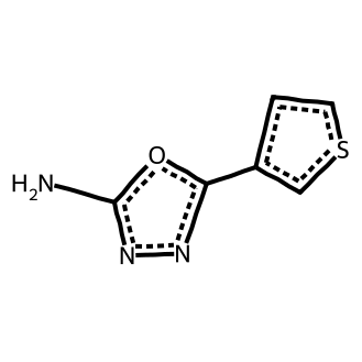 Nc1nnc(-c2ccsc2)o1